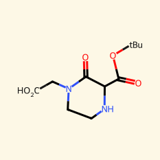 CC(C)(C)OC(=O)C1NCCN(CC(=O)O)C1=O